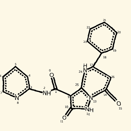 O=C(Nc1ccccn1)c1c(=O)[nH]n2c(=O)cc(-c3ccccc3)[nH]c12